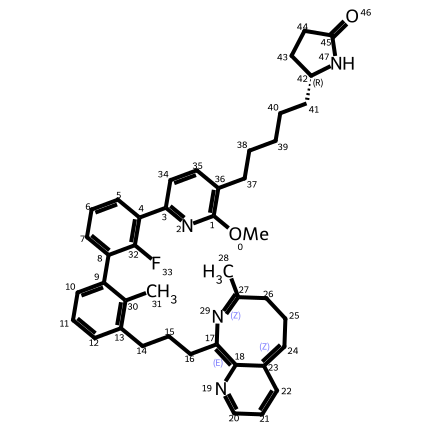 COc1nc(-c2cccc(-c3cccc(CCCC4=c5\nccc\c5=C\CC/C(C)=N\4)c3C)c2F)ccc1CCCCC[C@@H]1CCC(=O)N1